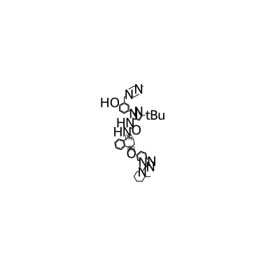 CC1CCCCN1c1nnc2ccc(O[C@@H]3CC[C@H](NC(=O)Nc4cc(C(C)(C)C)nn4-c4ccc(O)c(CN5CCN(C)CC5)c4)c4ccccc43)cn12